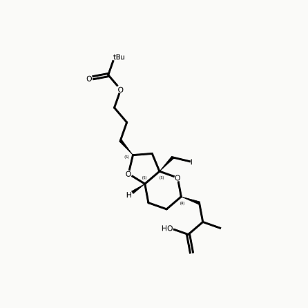 C=C(O)C(C)C[C@H]1CC[C@@H]2O[C@@H](CCCOC(=O)C(C)(C)C)C[C@]2(CI)O1